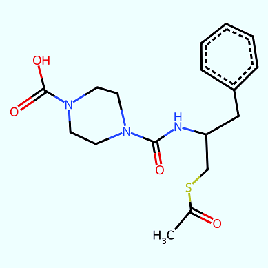 CC(=O)SCC(Cc1ccccc1)NC(=O)N1CCN(C(=O)O)CC1